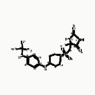 CC1(CS(=O)(=O)N2CCC(Oc3ccc(OC(F)(F)F)cc3)CC2)NC(=O)NC1=O